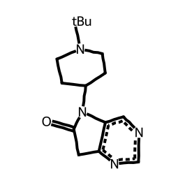 CC(C)(C)N1CCC(N2C(=O)Cc3ncncc32)CC1